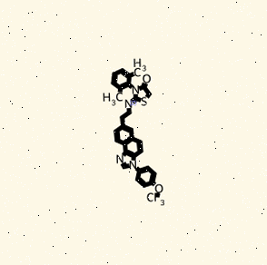 Cc1cccc(C)c1N1C(=O)CS/C1=N\CCc1ccc2c(ccc3c2ncn3-c2ccc(OC(F)(F)F)cc2)c1